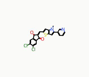 Cn1c(-c2cccnc2)cc2sc(C=C3C(=O)c4cc(Cl)c(Cl)cc4C3=O)cc21